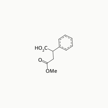 COC(=O)CC(C(=O)O)c1ccccc1